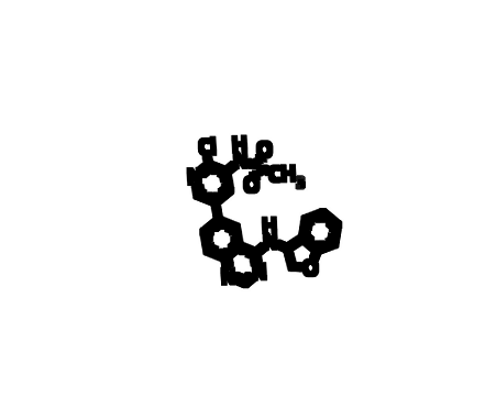 CS(=O)(=O)Nc1cc(-c2ccc3ncnc(NC4COc5ccccc54)c3c2)cnc1Cl